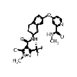 CNC(=O)c1cc(Oc2ccc3c(c2)CC(NC(=O)c2c(C(F)(F)F)nn(C)c2Cl)CC3)ccn1